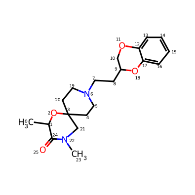 CC1OC2(CCN(CCC3COc4ccccc4O3)CC2)CN(C)C1=O